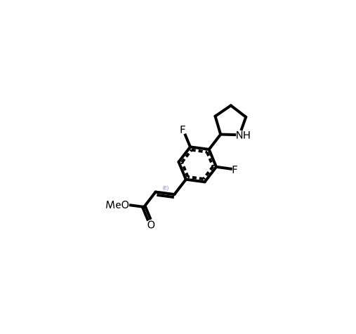 COC(=O)/C=C/c1cc(F)c(C2CCCN2)c(F)c1